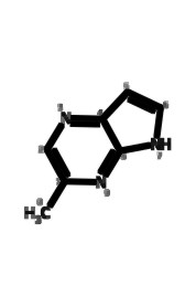 Cc1cnc2cc[nH]c2n1